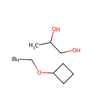 CC(O)CO.CCC(C)COC1CCC1